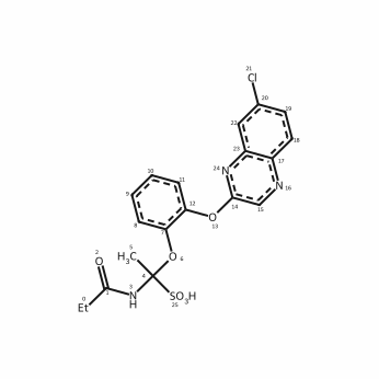 CCC(=O)NC(C)(Oc1ccccc1Oc1cnc2ccc(Cl)cc2n1)S(=O)(=O)O